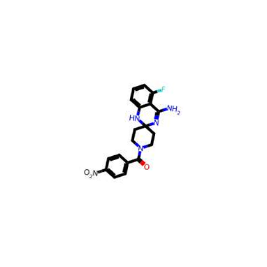 NC1=NC2(CCN(C(=O)c3ccc([N+](=O)[O-])cc3)CC2)Nc2cccc(F)c21